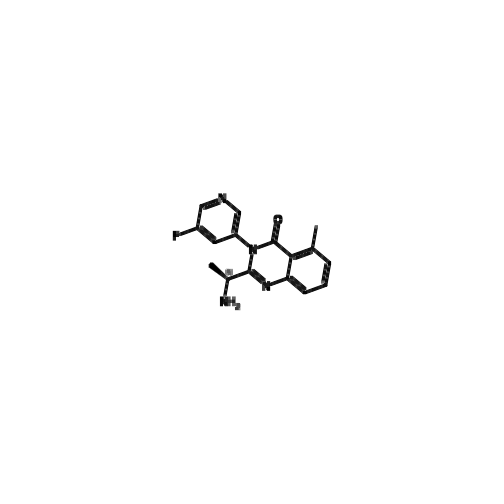 Cc1cccc2nc([C@H](C)N)n(-c3cncc(F)c3)c(=O)c12